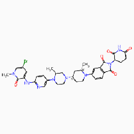 CC1CN([C@H]2CCN(c3ccc4c(c3)C(=O)N(C3CCC(=O)NC3=O)C4=O)[C@@H](C)C2)CCN1c1ccc(Nc2cc(Br)cn(C)c2=O)nc1